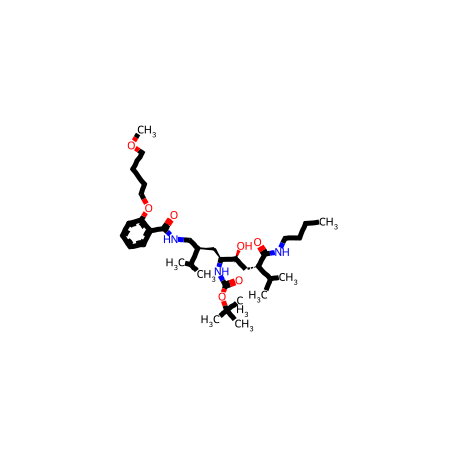 CCCCNC(=O)[C@@H](C[C@H](O)[C@H](C[C@H](CNC(=O)c1ccccc1OCCCCOC)C(C)C)NC(=O)OC(C)(C)C)C(C)C